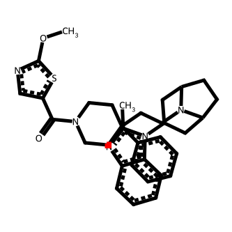 COc1ncc(C(=O)N2CCC(CCN3C4CCC3CC(n3c(C)nc5ccccc53)C4)(c3ccccc3)CC2)s1